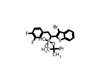 CC(C)C(C)(C)OP(=O)(O)C(Cc1ccc(F)c(F)c1)c1sc2ccccc2c1Br